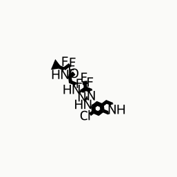 O=C(CCNc1nc(Nc2cc3c(cc2Cl)CNCC3)ncc1C(F)(F)F)NC(C1CC1)C(F)(F)F